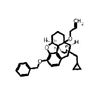 C=CCOC12CCC[C@@H]3Oc4c(OCc5ccccc5)ccc5c4[C@@]31CCN(CC1CC1)[C@@H]2C5